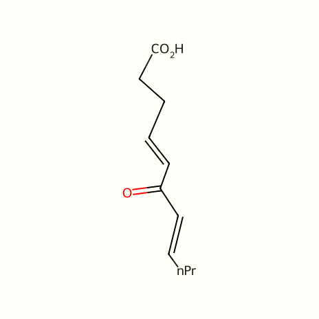 CCCC=CC(=O)C=CCCC(=O)O